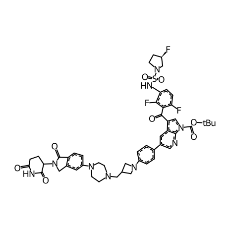 CC(C)(C)OC(=O)n1cc(C(=O)c2c(F)ccc(NS(=O)(=O)N3CC[C@@H](F)C3)c2F)c2cc(-c3ccc(N4CC(CN5CCN(c6ccc7c(c6)CN(C6CCC(=O)NC6=O)C7=O)CC5)C4)cc3)cnc21